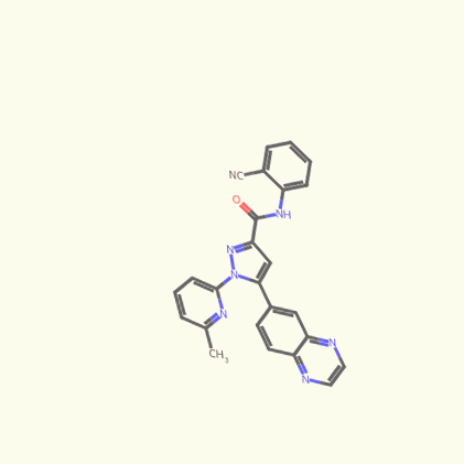 Cc1cccc(-n2nc(C(=O)Nc3ccccc3C#N)cc2-c2ccc3nccnc3c2)n1